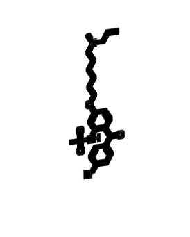 C=CCN(C)CCCCCCOc1ccc(C(=O)c2ccc(Br)cc2)c(NS(C)(=O)=O)c1